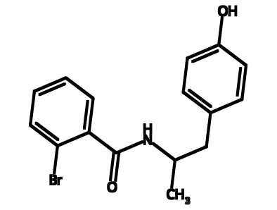 CC(Cc1ccc(O)cc1)NC(=O)c1ccccc1Br